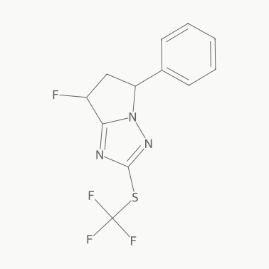 FC1CC(c2ccccc2)n2nc(SC(F)(F)F)nc21